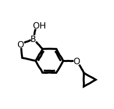 OB1OCc2ccc(OC3CC3)cc21